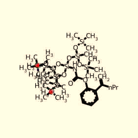 C=C(CCC)c1ccccc1OC(=O)N[Si](O[Si](C)(O[Si](C)(C)C)O[Si](C)(C)C)(O[Si](C)(O[Si](C)(C)C)O[Si](C)(C)C)O[Si](C)(O[Si](C)(C)C)O[Si](C)(C)C